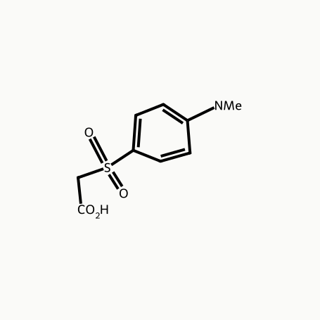 CNc1ccc(S(=O)(=O)CC(=O)O)cc1